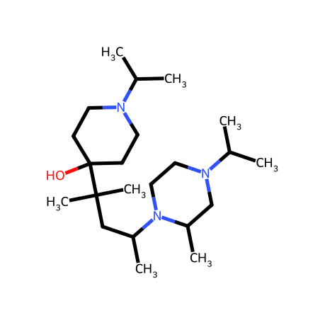 CC(C)N1CCC(O)(C(C)(C)CC(C)N2CCN(C(C)C)CC2C)CC1